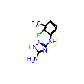 Nc1nc(Nc2cccc(C(F)(F)F)c2F)n[nH]1